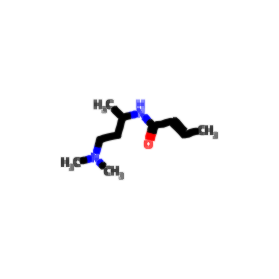 CC=CC(=O)NC(C)CCN(C)C